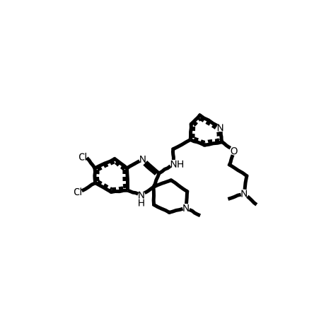 CN(C)CCOc1cc(CNC2=Nc3cc(Cl)c(Cl)cc3NC23CCN(C)CC3)ccn1